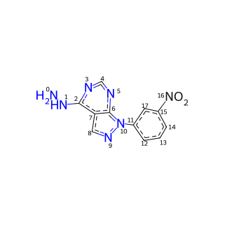 NNc1ncnc2c1cnn2-c1cccc([N+](=O)[O-])c1